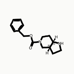 O=C(OCc1ccccc1)N1CC[C@@H]2NCC[C@@H]2C1